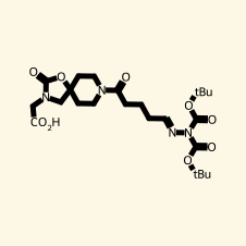 CC(C)(C)OC(=O)N(N=CCCCC(=O)N1CCC2(CC1)CN(CC(=O)O)C(=O)O2)C(=O)OC(C)(C)C